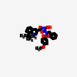 COc1ccc(S(=O)(=O)N(Cc2ccccc2)N(NO)OC(=O)c2cnc3c(C(C)(C)C)cccc3c2)cc1